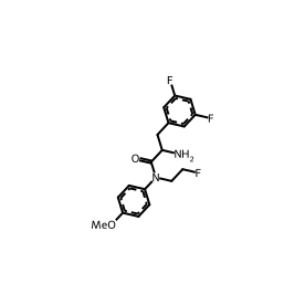 COc1ccc(N(CCF)C(=O)C(N)Cc2cc(F)cc(F)c2)cc1